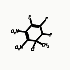 CC1(Cl)C([N+](=O)[O-])=C([N+](=O)[O-])C(F)=C(F)C1F